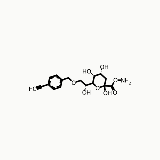 C#Cc1ccc(COC[C@@H](O)C2OC(O)(C(=O)ON)C[C@@H](O)[C@H]2O)cc1